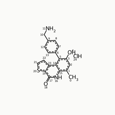 Cc1cc(O)c(-c2ccc(CN)cc2)c2c1[nH]c(=O)c1sccc12.Cl